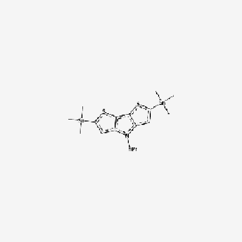 CCCn1c2c[c]([Sn]([CH3])([CH3])[CH3])sc2c2s[c]([Sn]([CH3])([CH3])[CH3])cc21